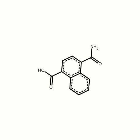 NC(=O)c1ccc(C(=O)O)c2ccccc12